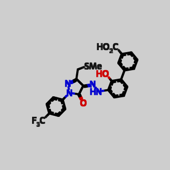 CSCC1=NN(c2ccc(C(F)(F)F)cc2)C(=O)C1=NNc1cccc(-c2cccc(C(=O)O)c2)c1O